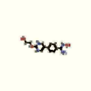 N/C(=N\O)c1ccc(-c2cnc(OCCO)nc2)cc1